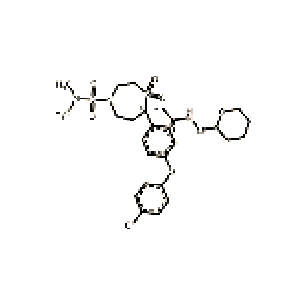 CN(C)S(=O)(=O)N1CC[C@](CC(=O)NOC2CCCCO2)(c2ccc(Oc3ccc(Cl)cc3)cc2)S(=O)(=O)CC1